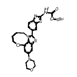 CC(C)(C)OC(=O)Nc1nc2ccc(-c3nc4cc(N5CCOCC5)cc5c4n3CCCCO5)cc2s1